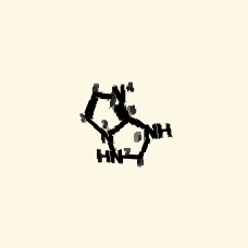 c1cn2c(n1)NCN2